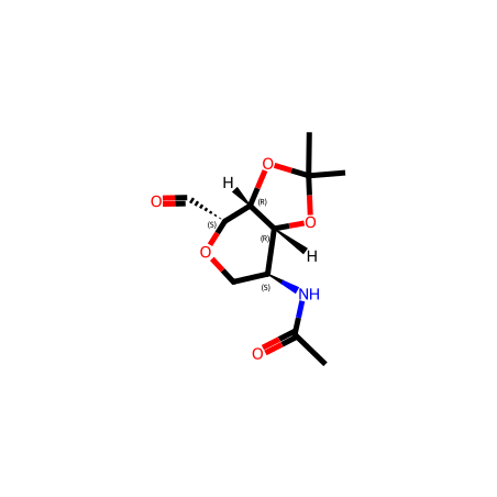 CC(=O)N[C@H]1CO[C@H](C=O)[C@@H]2OC(C)(C)O[C@@H]21